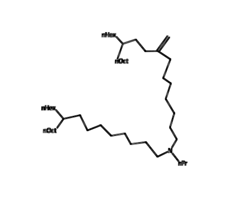 C=C(CCCCCCCN(CCC)CCCCCCCCC(CCCCCC)CCCCCCCC)CCC(CCCCCC)CCCCCCCC